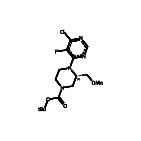 COC[C@@H]1CN(C(=O)OC(C)(C)C)CCN1c1ncnc(Cl)c1F